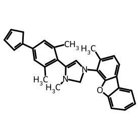 Cc1cc(C2=CC=CC2)cc(C)c1C1=CN(c2c(C)ccc3c2oc2ccccc23)CN1C